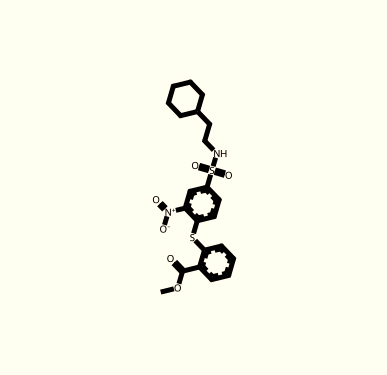 COC(=O)c1ccccc1Sc1ccc(S(=O)(=O)NCCC2CCCCC2)cc1[N+](=O)[O-]